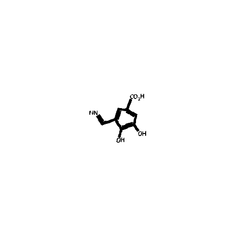 N=Cc1cc(C(=O)O)cc(O)c1O